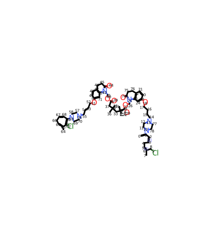 C=C(/C=C\C/C=C(/C)CCl)N1CCN(CCCCOc2ccc3c(c2)N(COC(=O)C(C)(CC)CC(C)(C)CC(=O)OCN2C(=O)CCc4ccc(OCCCCN5CCN(C6=C(Cl)C(C)=CCC=C6)CC5)cc42)C(=O)CC3)CC1